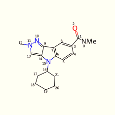 CNC(=O)c1ccc2c(c1)c1nn(C)cc1n2C1CCCCC1